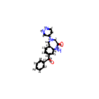 O=C1CN(c2ccnnc2)Cc2ccc(C(=O)c3ccccc3)cc2N1